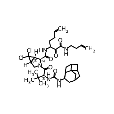 C=CCCNC(=O)C(=O)C(CCC=C)NC(=O)[C@@H]1[C@@H]2[C@H](CN1C(=O)[C@@H](NC(=O)NC13CC4CC5CC(C1)C5(C4)C3)C(C)(C)C)C2(Cl)Cl